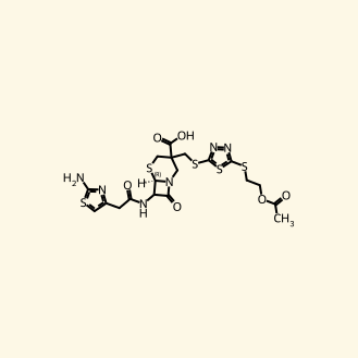 CC(=O)OCCSc1nnc(SCC2(C(=O)O)CS[C@@H]3C(NC(=O)Cc4csc(N)n4)C(=O)N3C2)s1